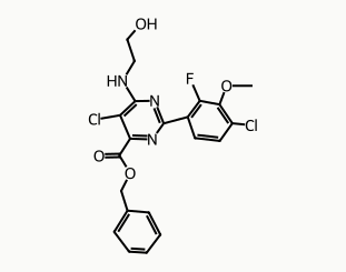 COc1c(Cl)ccc(-c2nc(NCCO)c(Cl)c(C(=O)OCc3ccccc3)n2)c1F